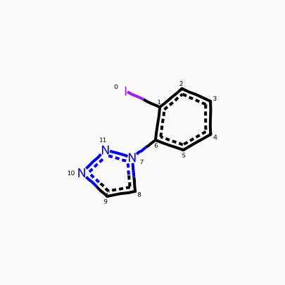 Ic1ccccc1-n1c[c]nn1